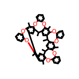 Cc1c2c3cc4c1Oc1ccccc1Oc1c(cc5c(c1C)Oc1ccccc1Oc1c(cc6c(c1C)Oc1ccccc1Oc1c(cc(c(c1C)Oc1ccccc1O2)C3C)C6C)C5C)C4C